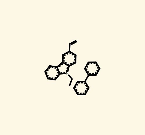 C=Cc1ccc2c(c1)c1ccccc1n2CC.c1ccc(-c2ccccc2)cc1